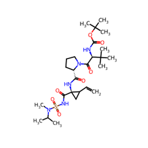 C=CC1C[C@]1(NC(=O)[C@@H]1CCCN1C(=O)[C@@H](NC(=O)OC(C)(C)C)C(C)(C)C)C(=O)NS(=O)(=O)N(C)C(C)C